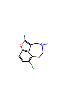 Cc1oc2ccc(Cl)c3c2c1CN(C)CC3